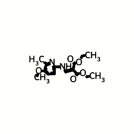 CCOC(=O)C(=CNc1ccc(OC)c(C)n1)C(=O)OCC